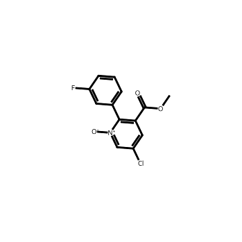 COC(=O)c1cc(Cl)c[n+]([O-])c1-c1cccc(F)c1